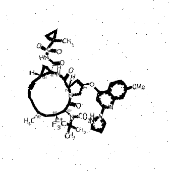 CC[C@@H]1C[C@H](C)CCC=C[C@@H]2C[C@@]2(C(=O)NS(=O)(=O)C2(C)CC2)NC(=O)[C@@H]2C[C@@H](Oc3cc(-n4cccn4)nc4cc(OC)ccc34)CN2C(=O)[C@H]1N(C(=O)O)C(C)(C)C(F)(F)F